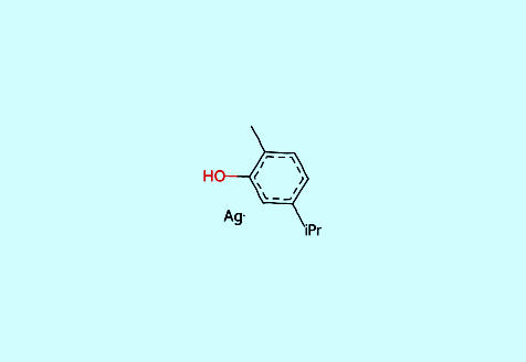 Cc1ccc(C(C)C)cc1O.[Ag]